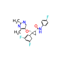 Cc1ncc(OC[C@@]2(C3C=C(F)C=C(F)C3)C[C@H]2C(=O)Nc2ccc(F)cc2)c(C)n1